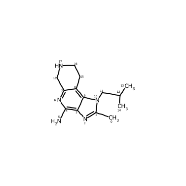 Cc1nc2c(N)nc3c(c2n1CC(C)C)CCNC3